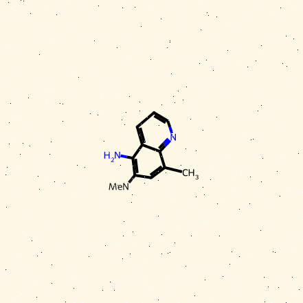 CNc1cc(C)c2ncccc2c1N